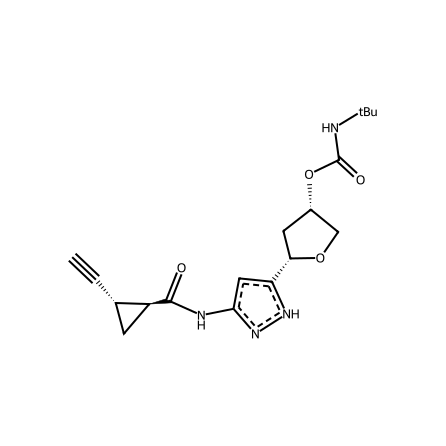 C#C[C@H]1C[C@@H]1C(=O)Nc1cc([C@@H]2C[C@H](OC(=O)NC(C)(C)C)CO2)[nH]n1